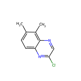 Cc1ccc2nc(Cl)cnc2c1C